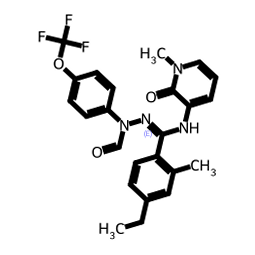 CCc1ccc(/C(=N\N(C=O)c2ccc(OC(F)(F)F)cc2)Nc2cccn(C)c2=O)c(C)c1